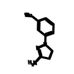 CC(C)(C)c1cccc(N2CCC(N)=N2)c1